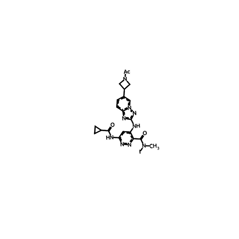 CC(=O)N1CC(c2ccc3nc(Nc4cc(NC(=O)C5CC5)nnc4C(=O)N(C)I)nn3c2)C1